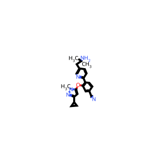 Cn1nc(C2CC2)cc1Oc1cc(C#N)ccc1-c1ccc(CC(C)(C)N)cn1